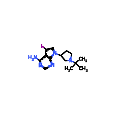 CC(C)(C)N1CCC(n2cc(I)c3c(N)ncnc32)C1